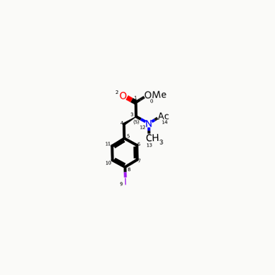 COC(=O)[C@H](Cc1ccc(I)cc1)N(C)C(C)=O